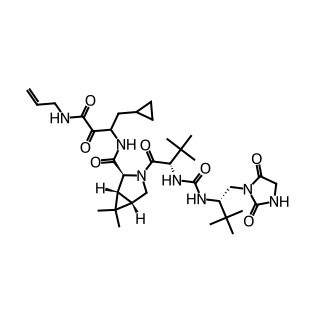 C=CCNC(=O)C(=O)C(CC1CC1)NC(=O)[C@@H]1[C@@H]2[C@H](CN1C(=O)[C@@H](NC(=O)N[C@H](CN1C(=O)CNC1=O)C(C)(C)C)C(C)(C)C)C2(C)C